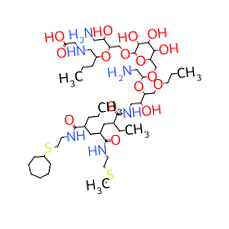 CCCOCC(OC(CN)OCC1OC(OCC(OC(CCC)CNCC(=O)O)C(O)CN)C(O)C(O)C1O)C(O)CNC(=O)C(CC)CC(CC(CCC)C(=O)NCCSC1CCCCCC1)C(=O)NCCSC